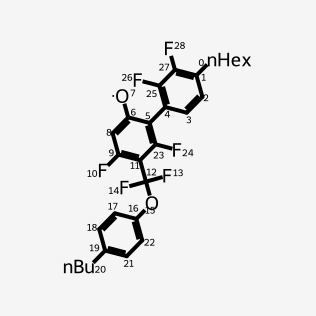 CCCCCCc1ccc(-c2c([O])cc(F)c(C(F)(F)Oc3ccc(CCCC)cc3)c2F)c(F)c1F